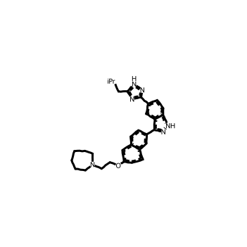 CC(C)Cc1nc(-c2ccc3[nH]nc(-c4ccc5cc(OCCN6CCCCCC6)ccc5c4)c3c2)n[nH]1